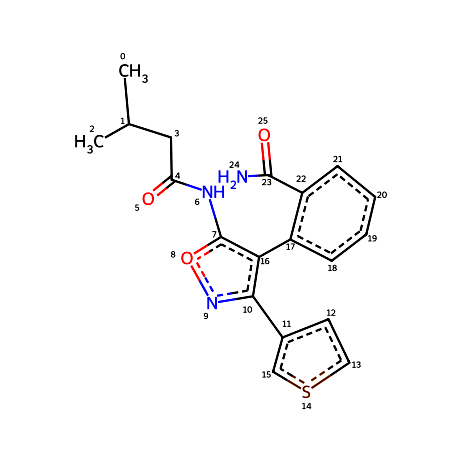 CC(C)CC(=O)Nc1onc(-c2ccsc2)c1-c1ccccc1C(N)=O